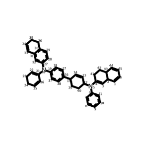 C1=CC2C=C(N(c3ccccc3)C3C=CC(c4ccc(N(C5=CCCC=C5)c5ccc6c(c5)C=CCC6)cc4)CC3)CCC2C=C1